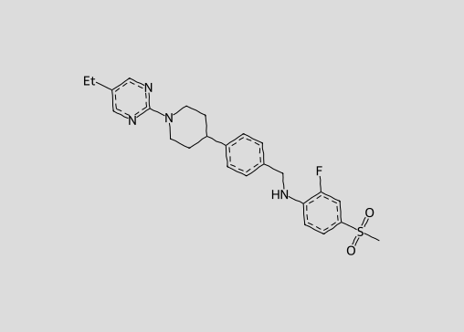 CCc1cnc(N2CCC(c3ccc(CNc4ccc(S(C)(=O)=O)cc4F)cc3)CC2)nc1